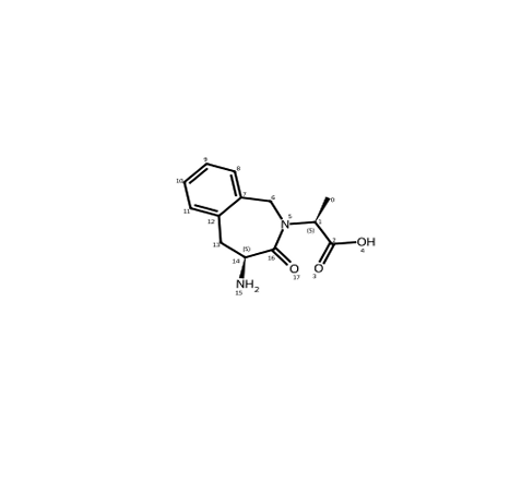 C[C@@H](C(=O)O)N1Cc2ccccc2C[C@H](N)C1=O